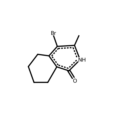 Cc1[nH]c(=O)c2c(c1Br)CCCC2